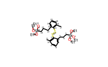 CCO[Si](CCCc1cccc(C)c1SSc1c(C)cccc1CCC[Si](OCC)(OCC)OCC)(OCC)OCC